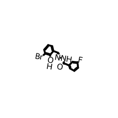 O=C(NN=Cc1cccc(Br)c1O)c1cccc(F)c1